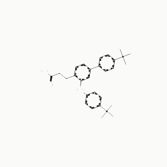 CC(C)(C)c1ccc(Oc2cc(-c3ccc(C(C)(C)C)cc3)ccc2CCC(=O)O)cc1